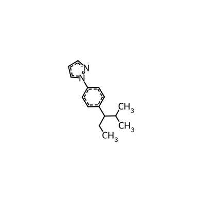 CCC(c1ccc(-n2cccn2)cc1)C(C)C